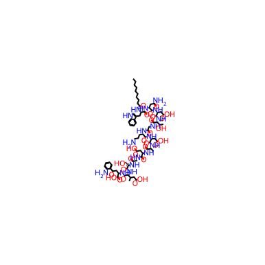 CCCCCCCCCC(=O)NC(Cc1c[nH]c2ccccc12)C(=O)NC(CC(N)=O)C(=O)NC(CC(=O)O)C(=O)NC(C(=O)NCC(=O)NC(CCCN)C(=O)NC(CC(=O)O)C(=O)NC(C)C(=O)NC(CC(=O)O)C(=O)NCC(=O)N[C@H](CO)C(=O)NC(C(=O)NC(CC(=O)c1ccccc1N)C(=O)O)C(C)CC(=O)O)C(C)O